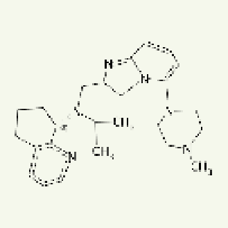 CC(C)N(CC1CN2C(N3CCN(C)CC3)=CC=CC2=N1)[C@H]1CCCc2cccnc21